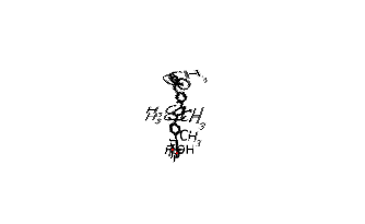 CCC(CC)(c1ccc(C#CC(O)(C(F)(F)F)C(F)(F)F)c(C)c1)c1ccc(-c2ccc(CC(=O)OC)cc2)c(C)c1